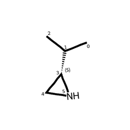 CC(C)[C@H]1CN1